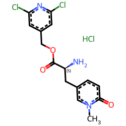 Cl.Cn1cc(C[C@H](N)C(=O)OCc2cc(Cl)nc(Cl)c2)ccc1=O